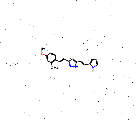 COc1cc(OC(C)C)ccc1C=Cc1cc(C=Cc2cccn2C)[nH]n1